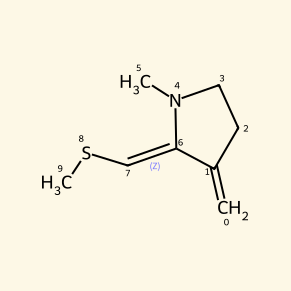 C=C1CCN(C)/C1=C\SC